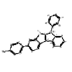 Clc1ccc(-c2ccc3c(c2)oc2c3c3ccccc3n2-c2ccccc2)cc1